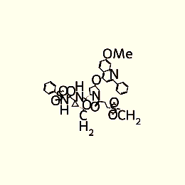 C=C[C@@H]1C[C@]1(NC(=O)[C@@H]1C[C@@H](Oc2cc(-c3ccccc3)nc3cc(OC)ccc23)CN1C(=O)CCS(=O)(=O)C=C)C(=O)NS(=O)(=O)c1ccccc1